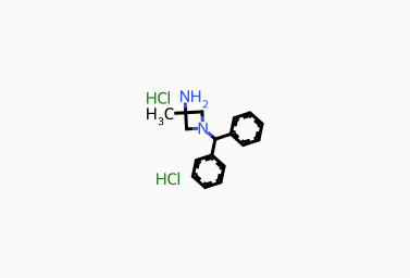 CC1(N)CN(C(c2ccccc2)c2ccccc2)C1.Cl.Cl